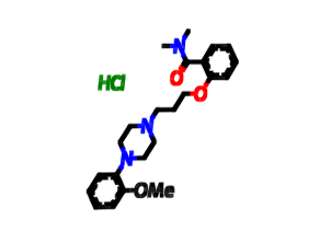 COc1ccccc1N1CCN(CCCOc2ccccc2C(=O)N(C)C)CC1.Cl